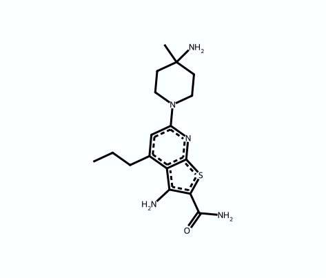 CCCc1cc(N2CCC(C)(N)CC2)nc2sc(C(N)=O)c(N)c12